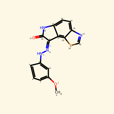 COc1cccc(N/N=C2\C(=O)Nc3ccc4ncsc4c32)c1